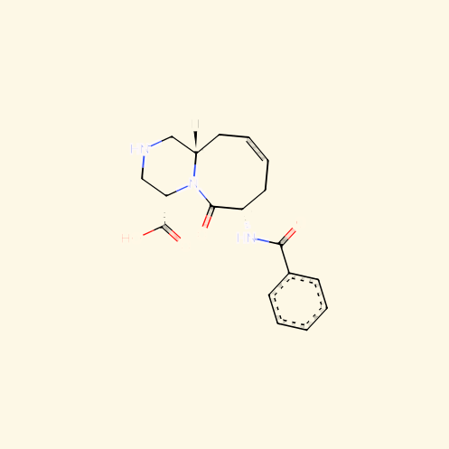 O=C(N[C@H]1CC=CC[C@H]2CNC[C@@H](C(=O)O)N2C1=O)c1ccccc1